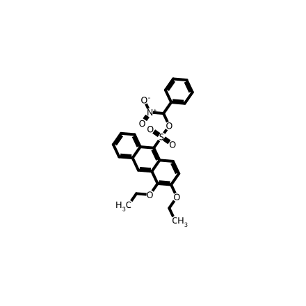 CCOc1ccc2c(S(=O)(=O)OC(c3ccccc3)[N+](=O)[O-])c3ccccc3cc2c1OCC